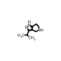 CC(C)c1n[nH]c2c1CNCC2